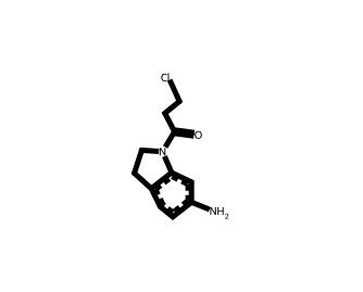 Nc1ccc2c(c1)N(C(=O)CCCl)CC2